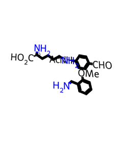 CC(=O)Nc1ccc(C=O)cc1.COc1ccccc1CN.NCCCC[C@H](N)C(=O)O